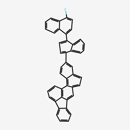 Fc1ccc(-c2ccc(-c3ccc4c(ccc5cc6c7c(cccc7c54)-c4ccccc4-6)c3)c3ccccc23)c2ccccc12